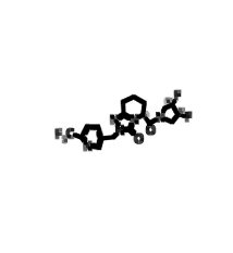 O=C([C@@H]1CCCc2nn(Cc3ccc(C(F)(F)F)nc3)c(=O)n21)N1C[C@@H](F)[C@@H](F)C1